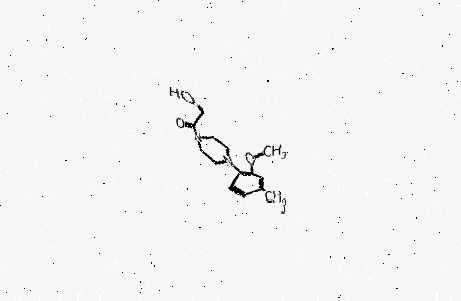 COc1cc(C)ccc1N1CCN(C(=O)CO)CC1